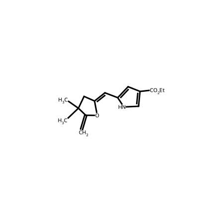 C=C1OC(=Cc2cc(C(=O)OCC)c[nH]2)CC1(C)C